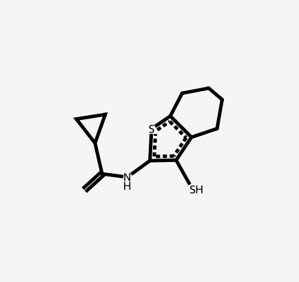 C=C(Nc1sc2c(c1S)CCCC2)C1CC1